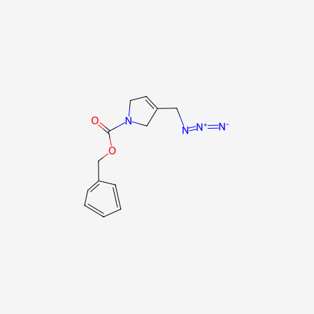 [N-]=[N+]=NCC1=CCN(C(=O)OCc2ccccc2)C1